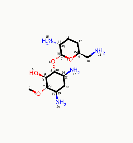 CO[C@@H]1[C@@H](O)[C@H](O[C@H]2O[C@H](CN)CC[C@H]2N)[C@@H](N)C[C@H]1N